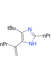 C=C(CCC)c1[nH]c(CCC)nc1C(C)(C)C